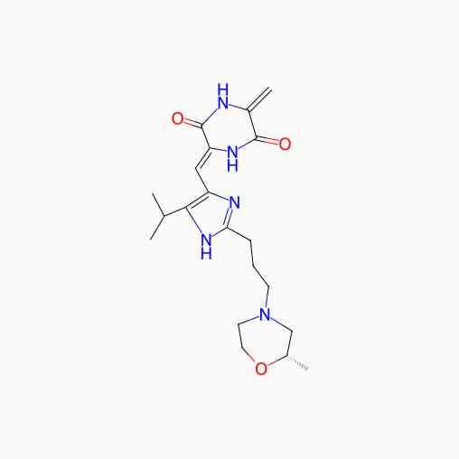 C=c1[nH]c(=O)c(=Cc2nc(CCCN3CCO[C@@H](C)C3)[nH]c2C(C)C)[nH]c1=O